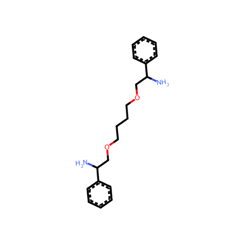 NC(COCCCCOCC(N)c1ccccc1)c1ccccc1